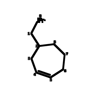 C[C](C)CC1CC=CCCC1